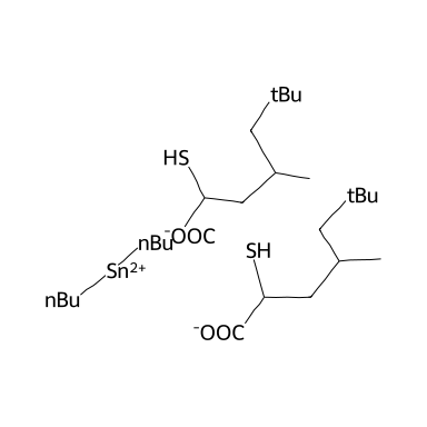 CC(CC(S)C(=O)[O-])CC(C)(C)C.CC(CC(S)C(=O)[O-])CC(C)(C)C.CCC[CH2][Sn+2][CH2]CCC